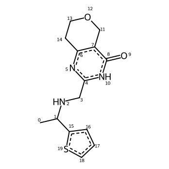 CC(NCc1nc2c(c(=O)[nH]1)COCC2)c1cccs1